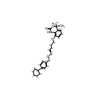 CC1(C)OC(=O)Nc2c(OCCCC=NOSc3ccc(C4CCCCC4)cc3)cccc21